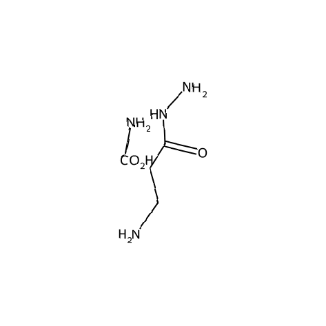 NC(=O)O.NCCC(=O)NN